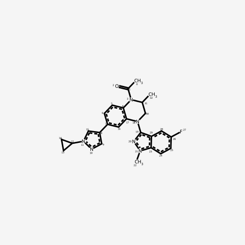 CC(=O)N1c2ccc(-c3cnn(C4CC4)c3)cc2N(c2nn(C)c3ccc(F)cc23)CC1C